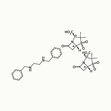 CC1(C)[C@H](C(=O)O)N2C(=O)C[C@H]2S1(=O)=O.CC1(C)[C@H](C(=O)O)N2C(=O)C[C@H]2S1(=O)=O.c1ccc(CNCCNCc2ccccc2)cc1